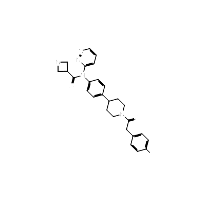 O=C(Cc1ccc(Cl)cc1)N1CCC(c2ccc(N(C(=O)C3CNC3)c3cccnn3)cc2)CC1